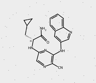 N#Cc1ncc(N[C@H](CC2CC2)C(N)=O)nc1Nc1cnc2ccccc2c1